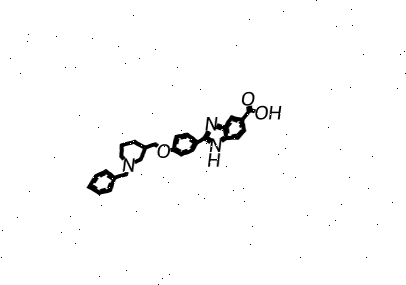 O=C(O)c1ccc2[nH]c(-c3ccc(OCC4CCCN(Cc5ccccc5)C4)cc3)nc2c1